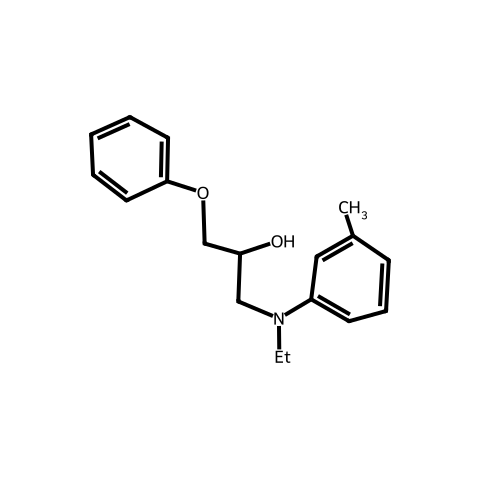 CCN(CC(O)COc1ccccc1)c1cccc(C)c1